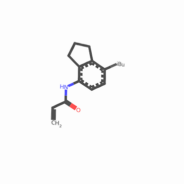 C=CC(=O)Nc1ccc(C(C)CC)c2c1CCC2